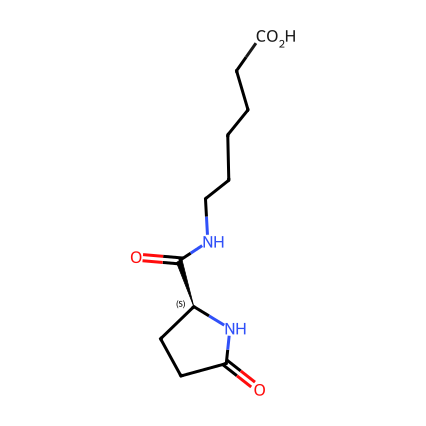 O=C(O)CCCCCNC(=O)[C@@H]1CCC(=O)N1